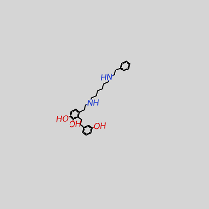 Oc1cccc(CCc2c(CCNCCCCCCNCCc3ccccc3)ccc(O)c2O)c1